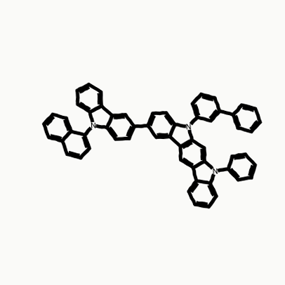 c1ccc(-c2cccc(-n3c4ccc(-c5ccc6c(c5)c5ccccc5n6-c5cccc6ccccc56)cc4c4cc5c6ccccc6n(-c6ccccc6)c5cc43)c2)cc1